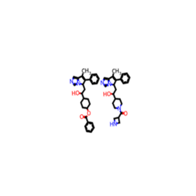 CC1=C(c2ccccc2)C(CC(O)C2CCC(OC(=O)c3ccccc3)CC2)n2cncc21.CC1=C(c2ccccc2)C(CC(O)C2CCN(C(=O)C3CNC3)CC2)n2cncc21